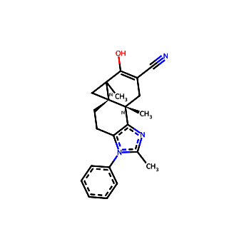 Cc1nc2c(n1-c1ccccc1)CC[C@@]13CC1(C)C(O)=C(C#N)C[C@]23C